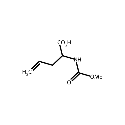 C=CCC(NC(=O)OC)C(=O)O